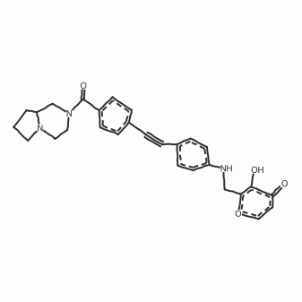 O=C(c1ccc(C#Cc2ccc(NCc3occc(=O)c3O)cc2)cc1)N1CCN2CCCC2C1